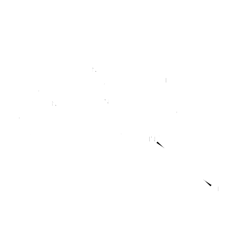 C[C@H]1CC[C@@H](NC(=O)c2c(O)c3cccnc3n(CCN3CCOCC34CC4)c2=O)CC1